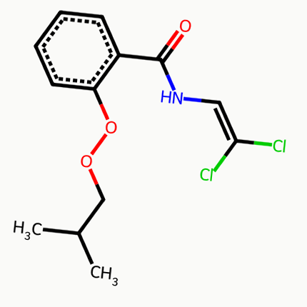 CC(C)COOc1ccccc1C(=O)NC=C(Cl)Cl